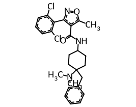 Cc1onc(-c2c(Cl)cccc2Cl)c1C(=O)NC1CCC(Cc2ccccc2)(N(C)C)CC1